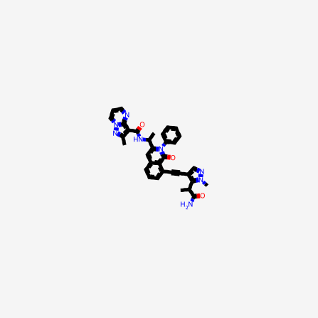 Cc1nn2cccnc2c1C(=O)NC(C)c1cc2cccc(C#Cc3cnn(C)c3C(C)C(N)=O)c2c(=O)n1-c1ccccc1